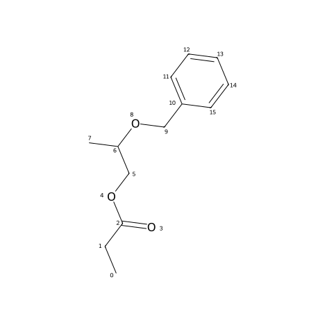 CCC(=O)OCC(C)OCc1ccccc1